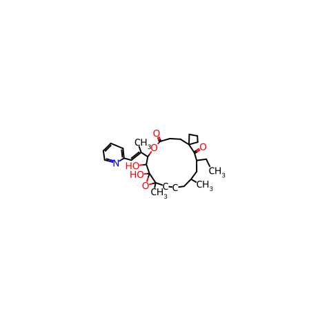 CCC1CC(C)CCCC2(C)OC2(O)C(O)C(C(C)=Cc2ccccn2)OC(=O)CCC2(CCC2)C1=O